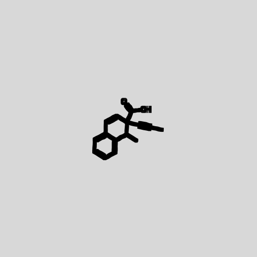 CC#CC1(C(=O)O)C=Cc2ccccc2C1C